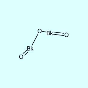 [O]=[Bk][O][Bk]=[O]